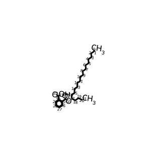 CCCCCCCCCCCCCCCCCC(CCCC)OC(=O)c1ccccc1C(=O)O